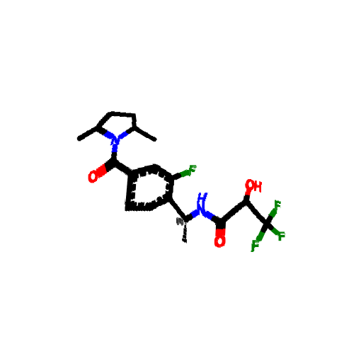 CC1CCC(C)N1C(=O)c1ccc([C@@H](C)NC(=O)C(O)C(F)(F)F)c(F)c1